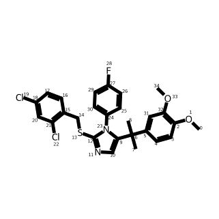 COc1ccc(C(C)(C)c2cnc(SCc3ccc(Cl)cc3Cl)n2-c2ccc(F)cc2)cc1OC